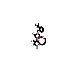 O=C1NNC2(CCCCCCCCC2)C(N2CCN(Cc3ccccc3C(F)(F)F)C(=O)C2)C1Cl